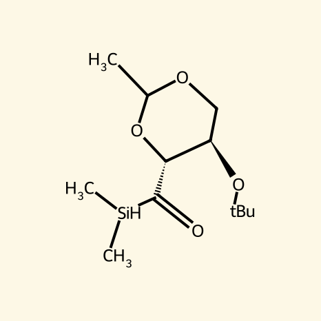 CC1OC[C@@H](OC(C)(C)C)[C@H](C(=O)[SiH](C)C)O1